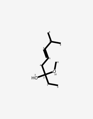 CCC(O)(CC=CC(C)C)OC